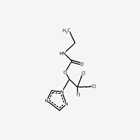 CCNC(=O)OC(n1cncn1)C(Cl)(Cl)Cl